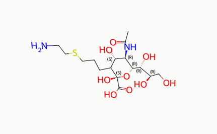 CC(=O)N[C@H]1[C@H]([C@H](O)[C@H](O)CO)O[C@](O)(C(=O)O)C(CCCSCCN)[C@@H]1O